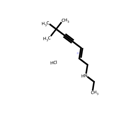 CCNC/C=C/C#CC(C)(C)C.Cl